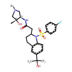 CC(=O)N1C[C@@H](NC(=O)CC2CCc3cc(C(O)(C(F)(F)F)C(F)(F)F)ccc3N2S(=O)(=O)c2ccc(F)cc2)[C@](C)(O)C1